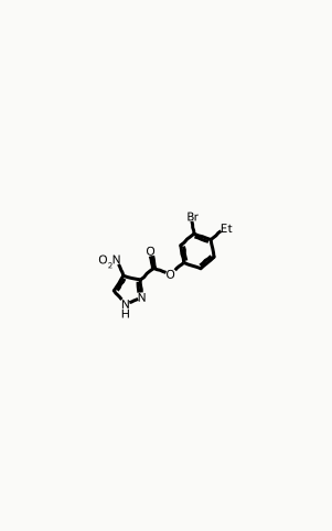 CCc1ccc(OC(=O)c2n[nH]cc2[N+](=O)[O-])cc1Br